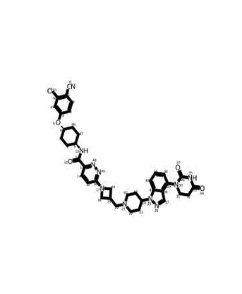 N#Cc1ccc(O[C@H]2CC[C@H](NC(=O)c3ccc(N4CC(CN5CCC(n6ncc7c(N8CCC(=O)NC8=O)cccc76)CC5)C4)nn3)CC2)cc1Cl